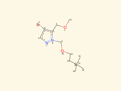 COCc1c(Br)cnn1COCC[Si](C)(C)C